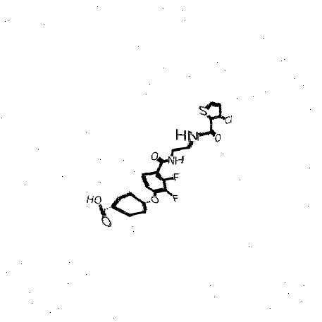 O=C(NCCNC(=O)C1SC=CC1Cl)c1ccc(O[C@H]2CC[C@@H](C(=O)O)CC2)c(F)c1F